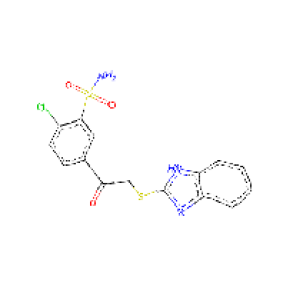 NS(=O)(=O)c1cc(C(=O)CSc2nc3ccccc3[nH]2)ccc1Cl